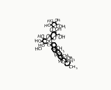 C[C@@H]1CC[C@@]2(NC1)O[C@H]1C[C@H]3[C@@H]4CC=C5C[C@@H](O[C@@H]6O[C@H](CO)[C@H](O)[C@H](O[C@@H]7O[C@H](CO)[C@@H](O)[C@H](O)[C@H]7O)[C@H]6O[C@@H]6O[C@@H](C)[C@H](O)[C@@H](O)[C@H]6O)CC[C@]5(C)[C@H]4CC[C@]3(C)[C@H]1[C@@H]2C.Cl